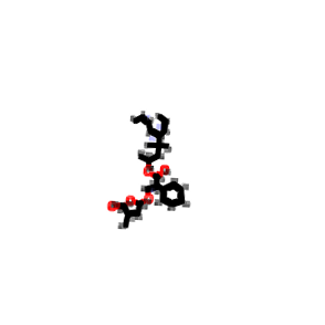 C\C=C/C=C(\C=C/C)C(C)(C)CC(C)OC(=O)/C(=C/OC1C=C(C)C(=O)O1)c1ccccc1